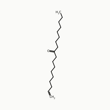 C=CCCCCCCCC(=O)CCCCCCCC